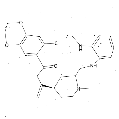 C=C(CC(=O)c1cc2c(cc1Cl)OCCO2)[C@@H]1CCN(C)C(CNc2ccccc2NC)C1